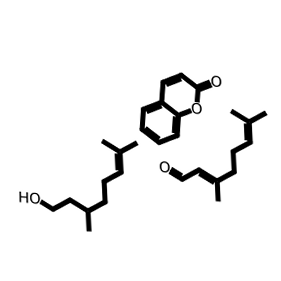 CC(C)=CCCC(C)=CC=O.CC(C)=CCCC(C)CCO.O=c1ccc2ccccc2o1